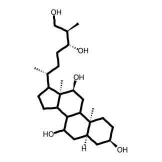 C[C@H](CC[C@@H](O)[C@H](C)CO)C1CCC2C3C(O)C[C@@H]4C[C@H](O)CC[C@]4(C)C3C[C@H](O)[C@@]21C